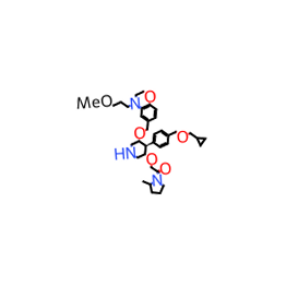 COCCCN1CCOc2ccc(CO[C@H]3CNC[C@@H](OCC(=O)N4CCCC4C)[C@@H]3c3ccc(COCC4CC4)cc3)cc21